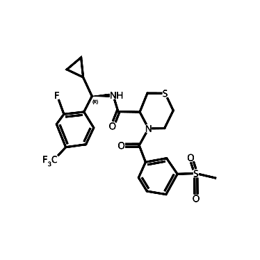 CS(=O)(=O)c1cccc(C(=O)N2CCSCC2C(=O)N[C@@H](c2ccc(C(F)(F)F)cc2F)C2CC2)c1